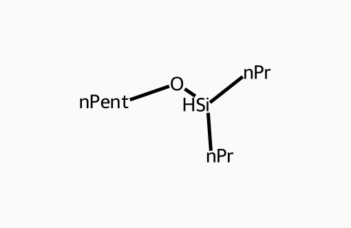 CCCCCO[SiH](CCC)CCC